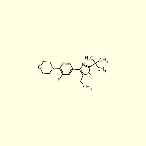 CCc1sc(C(C)(C)C)nc1-c1ccc(N2CCOCC2)c(F)c1